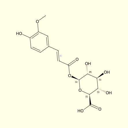 COc1cc(/C=C/C(=O)O[C@@H]2O[C@H](C(=O)O)[C@@H](O)[C@H](O)[C@H]2O)ccc1O